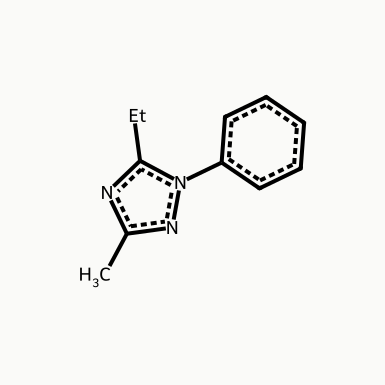 CCc1nc(C)nn1-c1ccccc1